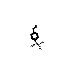 CC(=O)N(C(C)=O)N(C(C)=O)c1ccc(CBr)cc1